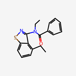 CCc1cccc2snc(N(CC)C(=O)c3ccccc3)c12